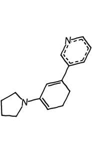 C1=C(c2cccnc2)CCC=C1N1CCCC1